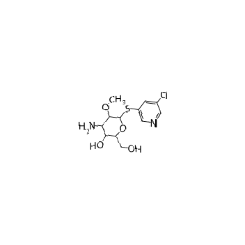 COC1C(Sc2cncc(Cl)c2)OC(CO)C(O)C1N